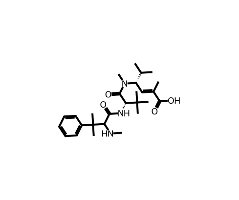 CNC(C(=O)N[C@H](C(=O)N(C)[C@@H](/C=C(\C)C(=O)O)C(C)C)C(C)(C)C)C(C)(C)c1ccccc1